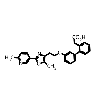 Cc1ccc(-c2nc(CCOc3cccc(-c4ccccc4CC(=O)O)c3)c(C)o2)cn1